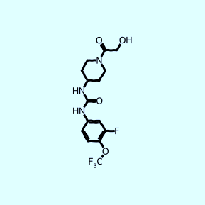 O=C(Nc1ccc(OC(F)(F)F)c(F)c1)NC1CCN(C(=O)CO)CC1